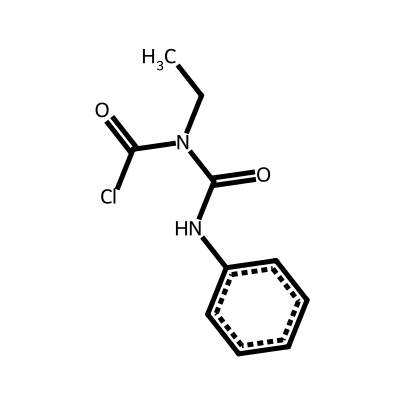 CCN(C(=O)Cl)C(=O)Nc1ccccc1